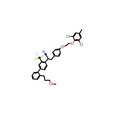 COCCCc1ccccc1-c1ccc(C(C#N)Cc2ccc(OCCOc3c(Cl)cc(C)cc3Cl)cc2)c(C(F)(F)F)c1